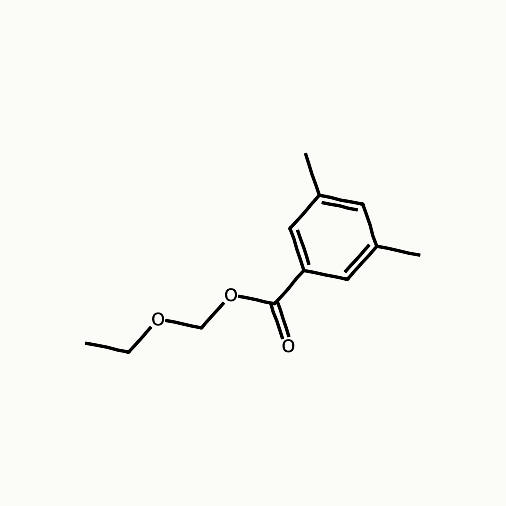 CCOCOC(=O)c1cc(C)cc(C)c1